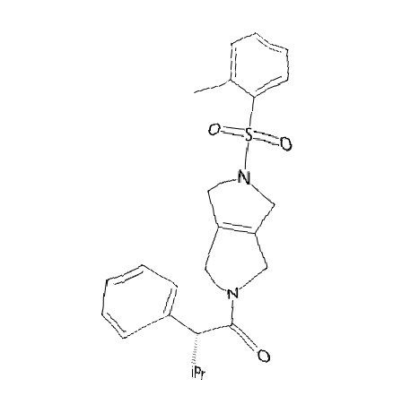 Cc1ccccc1S(=O)(=O)N1CC2=C(CN(C(=O)[C@@H](c3ccccc3)C(C)C)C2)C1